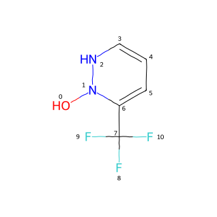 ON1NC=CC=C1C(F)(F)F